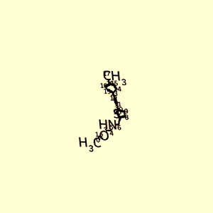 CCOCCNCc1ccc(C#Cc2ccc(C)cc2)s1